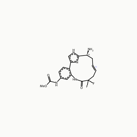 COC(=O)Nc1ccc2c(c1)NC(=O)C(F)(F)C/C=C/C[C@H](N)c1nc-2c[nH]1